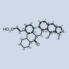 Cn1ncc2cc3cccc(CN(C(=O)C4CCCCC4)c4cccc(C=CC(=O)O)c4)c3c(F)c21